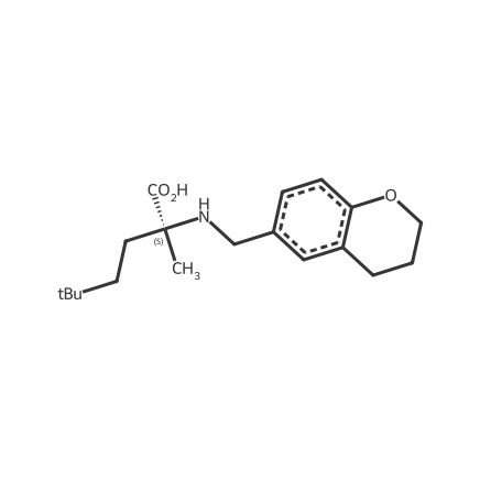 CC(C)(C)CC[C@](C)(NCc1ccc2c(c1)CCCO2)C(=O)O